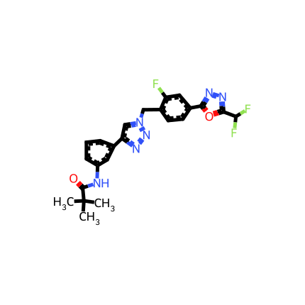 CC(C)(C)C(=O)Nc1cccc(-c2cn(Cc3ccc(-c4nnc(C(F)F)o4)cc3F)nn2)c1